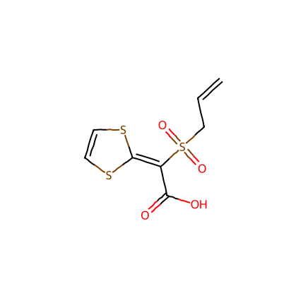 C=CCS(=O)(=O)C(C(=O)O)=C1SC=CS1